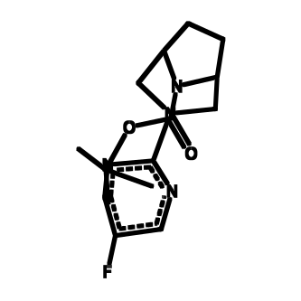 CC(C)(C)OC(=O)N1C2CCC1CN(c1ncc(F)cn1)C2